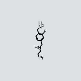 CC(C)CCNCc1ccc(CN)c(F)c1